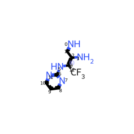 N=C/C(N)=C(\Nc1ncccn1)C(F)(F)F